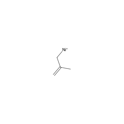 C=C(C)[CH2][Ni+]